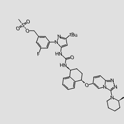 C[C@H]1CCCCN1c1nnc2ccc(O[C@@H]3CC[C@H](NC(=O)Nc4cc(C(C)(C)C)nn4-c4cc(F)cc(COS(C)(=O)=O)c4)c4ccccc43)cn12